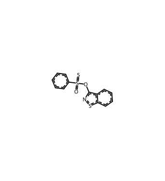 O=S(=S)(Oc1nsc2ccccc12)c1ccccc1